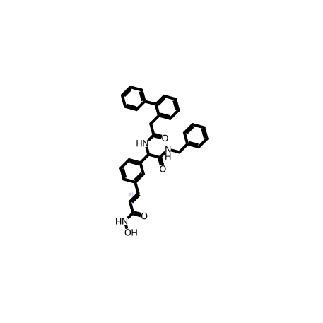 O=C(/C=C/c1cccc(C(NC(=O)Cc2ccccc2-c2ccccc2)C(=O)NCc2ccccc2)c1)NO